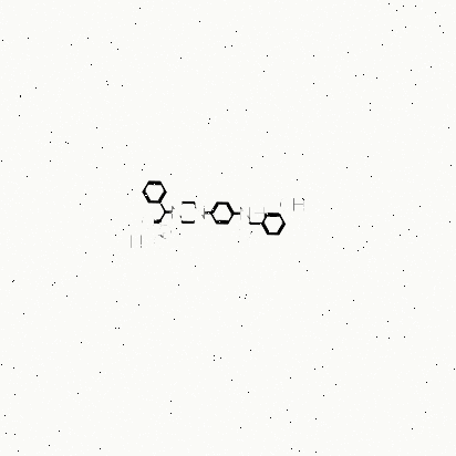 COC(=O)C(c1ccccc1)N1CCN(c2ccc(NC(=O)c3cccc(C)c3)cc2)CC1